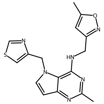 Cc1nc(NCc2cc(C)on2)c2c(ccn2Cc2cscn2)n1